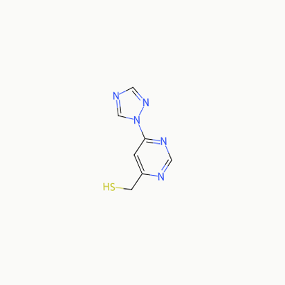 SCc1cc(-n2cncn2)ncn1